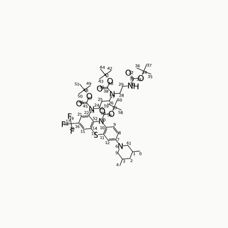 CC1CC(C)CN(c2ccc3c(c2)Sc2cc(C(F)(F)F)cc(N(CCCN(CCNC(=O)OC(C)(C)C)C(=O)OC(C)(C)C)C(=O)OC(C)(C)C)c2N3C(=O)OC(C)(C)C)C1